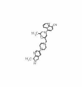 CC1CN(c2ccc(C#N)c3ncccc23)CC(CN2CCN(c3cnc4c(c3)CN[C@@H]4C)CC2)O1